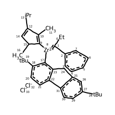 CC/[C](c1ccccc1)=[Zr+2](\[C]1=C(C)C(C(C)C)=CC1C)[c]1c(C(C)(C)C)ccc2c1Cc1cc(C(C)(C)C)ccc1-2.[Cl-].[Cl-]